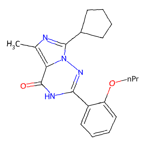 CCCOc1ccccc1-c1nn2c(C3CCCC3)nc(C)c2c(=O)[nH]1